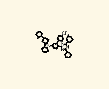 Cc1ccccc1-c1ccc2c(c1)c1ccccc1n2-c1ccc(-c2nc(-c3ccccc3)nc(-c3ccccc3)n2)c(-c2ccc(C(F)(F)F)cc2)c1